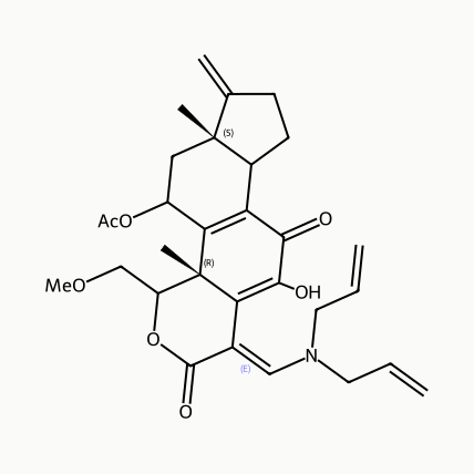 C=CCN(/C=C1/C(=O)OC(COC)[C@@]2(C)C1=C(O)C(=O)C1=C2C(OC(C)=O)C[C@]2(C)C(=C)CCC12)CC=C